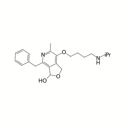 Cc1nc(Cc2ccccc2)c2c(c1OCCCCNC(C)C)COC2O